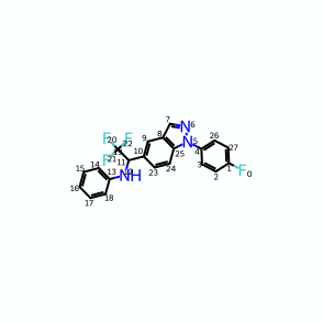 Fc1ccc(-n2ncc3cc(C(Nc4ccccc4)C(F)(F)F)ccc32)cc1